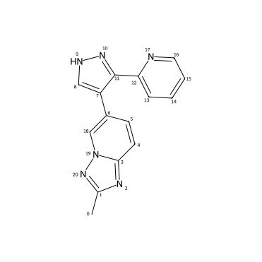 Cc1nc2ccc(-c3c[nH]nc3-c3ccccn3)cn2n1